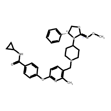 CO/N=C1\OC[C@@H](c2ccccc2)N1C1CCN(Cc2ccc(Oc3ccc(C(=O)NC4CC4)cc3)nc2C)CC1